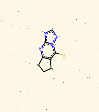 Sc1c2c(nc3ncnn13)CCC2